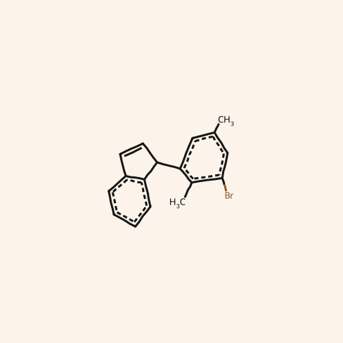 Cc1cc(Br)c(C)c(C2C=Cc3ccccc32)c1